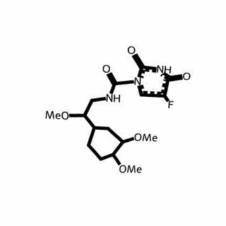 COC(CNC(=O)n1cc(F)c(=O)[nH]c1=O)C1CCC(OC)C(OC)C1